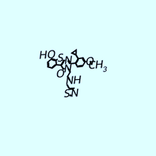 COc1ccc(-c2nc3sc4c(O)cccc4c3c(=O)n2CCNCc2cncs2)c(C2CC2)c1